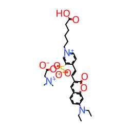 CCN(CC)c1ccc2cc(/C=C/c3cc[n+](CCCCCC(=O)O)cc3S(=O)(=O)[O-])c(=O)oc2c1.C[N+](C)(C)CC(=O)[O-]